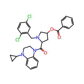 O=C(OC1CC(C(=O)N2CCN(C3CC3)c3ccccc32)N(Cc2cc(Cl)ccc2Cl)C1)c1ccccc1